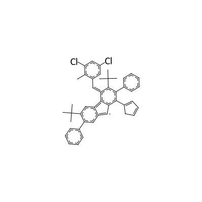 Cc1c(Cl)cc(Cl)cc1C=c1c(C(C)(C)C)c(-c2ccccc2)c(C2=CC=CC2)c2c1=c1cc(C(C)(C)C)c(-c3ccccc3)cc1=[C]2